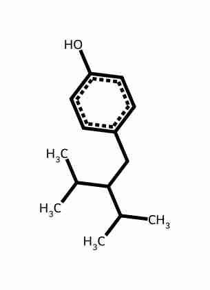 CC(C)C(Cc1ccc(O)cc1)C(C)C